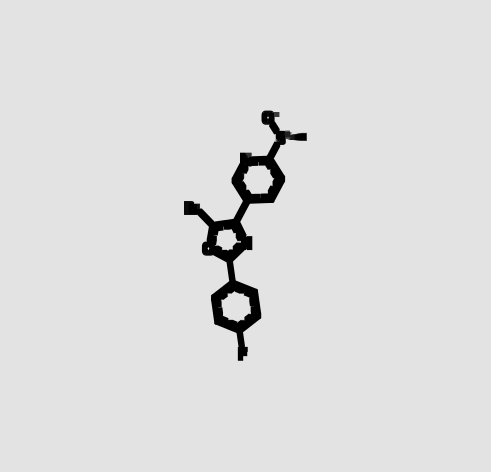 C[S@+]([O-])c1ccc(-c2nc(-c3ccc(F)cc3)oc2Br)cn1